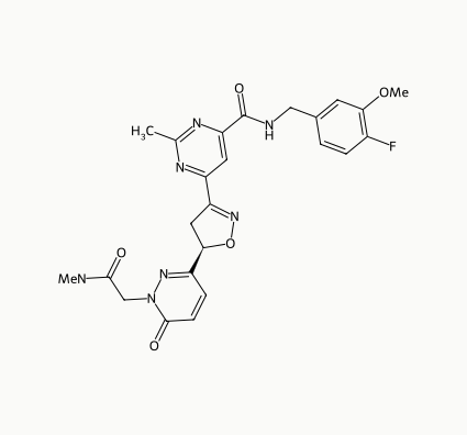 CNC(=O)Cn1nc([C@H]2CC(c3cc(C(=O)NCc4ccc(F)c(OC)c4)nc(C)n3)=NO2)ccc1=O